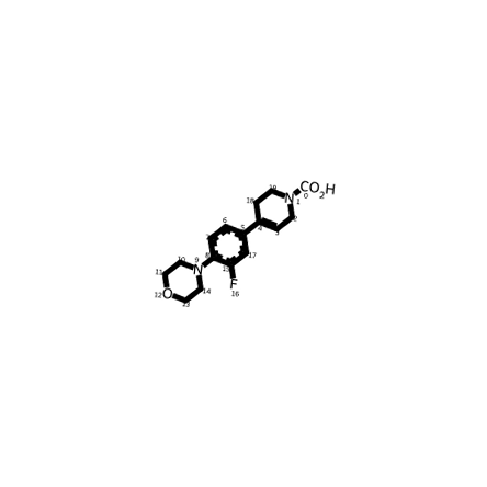 O=C(O)N1CC=C(c2ccc(N3CCOCC3)c(F)c2)CC1